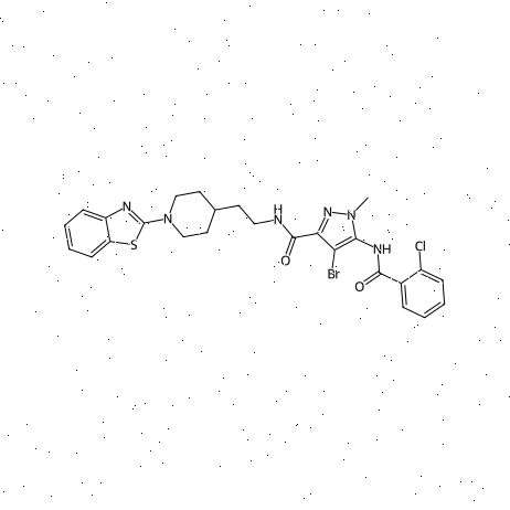 Cn1nc(C(=O)NCCC2CCN(c3nc4ccccc4s3)CC2)c(Br)c1NC(=O)c1ccccc1Cl